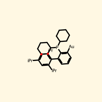 CC(C)c1cc(C(C)C)c(-c2ccc[c]([Au])c2P(C2CCCCC2)C2CCCCC2)c(C(C)C)c1